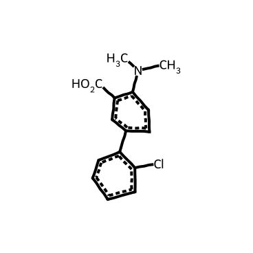 CN(C)c1ccc(-c2ccccc2Cl)cc1C(=O)O